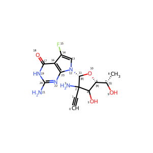 C#CC1(N)C(O)[C@@H]([C@H](C)O)O[C@H]1n1cc(F)c2c(=O)[nH]c(N)nc21